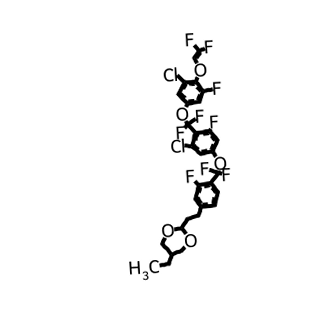 CCC1COC(CCc2ccc(C(F)(F)Oc3cc(F)c(C(F)(F)Oc4cc(F)c(OC=C(F)F)c(Cl)c4)c(Cl)c3)c(F)c2)OC1